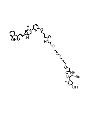 C[C@@H]1C[C@@H](O)CN1C(=O)[C@@H](NC(=O)COCCOCCOCCOCCNC(=O)CCCOc1cccc(N2C[C@H]3C[C@@H]2CN3/C=C/C(=O)c2ccccc2O)n1)C(C)(C)C